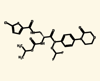 CC(C)OC(=O)N[C@H](CNC(=O)c1ccc(Cl)s1)C(=O)N(OC(F)F)c1ccc(N2CCOCC2=O)cc1